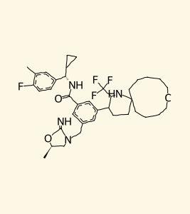 Cc1cc([C@@H](NC(=O)c2cc(CN3C[C@@H](C)OC3=N)cc(C3CCC4(CCCCCCCCCC4)NC3C(F)(F)F)c2)C2CC2)ccc1F